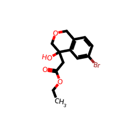 CCOC(=O)CC1(O)COCc2ccc(Br)cc21